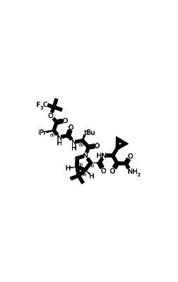 CC(C)[C@H](NC(=O)N[C@H](C(=O)N1C[C@H]2[C@@H]([C@H]1C(=O)NC(C(=O)C(N)=O)C1CC1)C2(C)C)C(C)(C)C)C(=O)OC(C)(C)C(F)(F)F